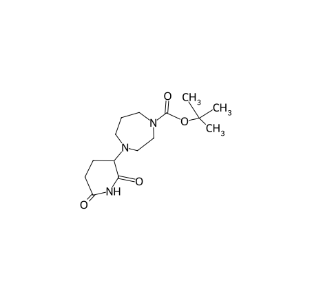 CC(C)(C)OC(=O)N1CCCN(C2CCC(=O)NC2=O)CC1